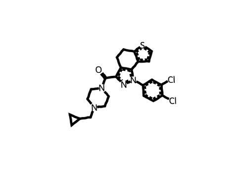 O=C(c1nn(-c2ccc(Cl)c(Cl)c2)c2c1CCc1sccc1-2)N1CCN(CC2CC2)CC1